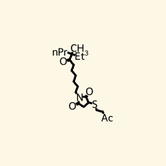 CCCC(C)(CC)C(=O)CCCCCCN1C(=O)CC(SCCC(C)=O)C1=O